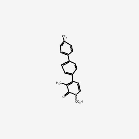 Cc1c(-c2ccc(-c3ccc(C(F)(F)F)cc3)cc2)ccn(C(=O)O)c1=O